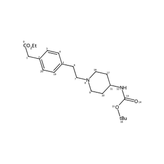 CCOC(=O)Cc1ccc(CCN2CCC(NC(=O)OC(C)(C)C)CC2)cc1